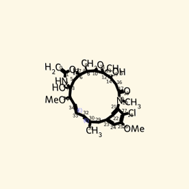 C=C1N[C@]2(O)C[C@H](O1)[C@@H](C)C1O[C@@]1(C)[C@@H](O)CC(=O)N(C)c1cc(cc(OC)c1Cl)C/C(C)=C/C=C/[C@H]2OC